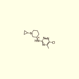 Cc1nc(N[C@@H]2CCCN(C3CC3)C2)nnc1Cl